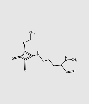 CCOc1c(NCCCC(C=O)NC)c(=O)c1=O